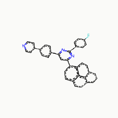 Fc1ccc(-c2nc(-c3ccc(-c4ccncc4)cc3)cc(-c3ccc4ccc5cccc6ccc3c4c56)n2)cc1